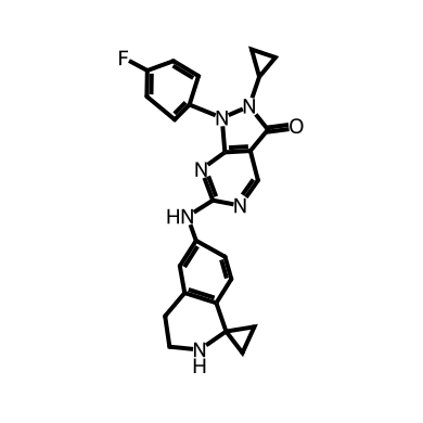 O=c1c2cnc(Nc3ccc4c(c3)CCNC43CC3)nc2n(-c2ccc(F)cc2)n1C1CC1